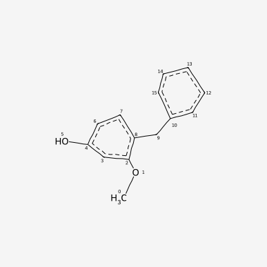 COc1cc(O)ccc1Cc1ccccc1